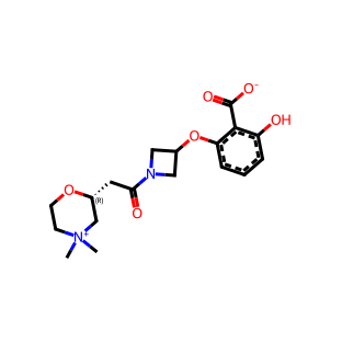 C[N+]1(C)CCO[C@H](CC(=O)N2CC(Oc3cccc(O)c3C(=O)[O-])C2)C1